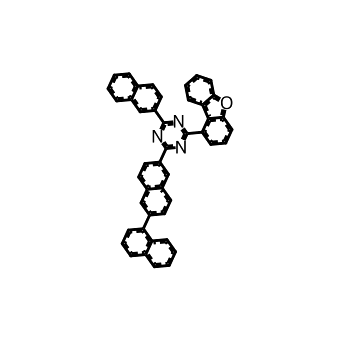 c1ccc2cc(-c3nc(-c4ccc5cc(-c6cccc7ccccc67)ccc5c4)nc(-c4cccc5oc6ccccc6c45)n3)ccc2c1